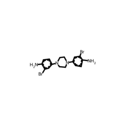 Nc1ccc(N2CCN(c3ccc(N)c(Br)c3)CC2)cc1Br